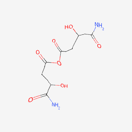 NC(=O)C(O)CC(=O)OC(=O)CC(O)C(N)=O